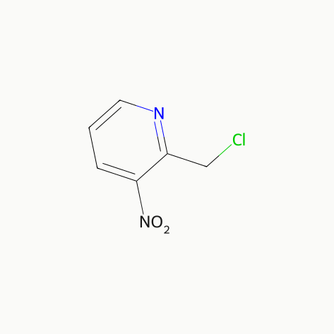 O=[N+]([O-])c1cccnc1CCl